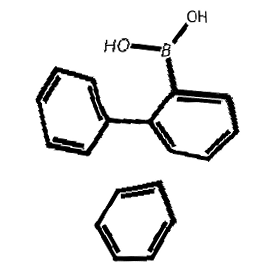 OB(O)c1ccccc1-c1ccccc1.c1ccccc1